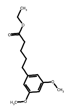 CCOC(=O)CCCCc1cc(OC)cc(OC)c1